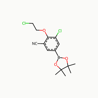 CC1(C)OB(c2cc(Cl)c(OCCCl)c(C#N)c2)OC1(C)C